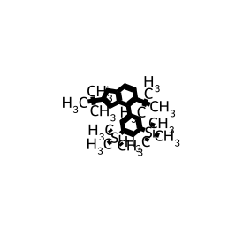 CC(C)(C)C1=Cc2c(ccc(C(C)(C)C)c2-c2cc([Si](C)(C)C)cc([Si](C)(C)C)c2)[CH]1